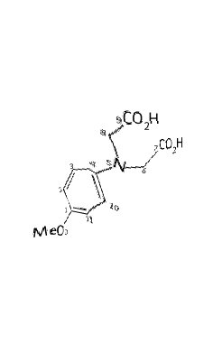 COc1ccc(N(CC(=O)O)CC(=O)O)cc1